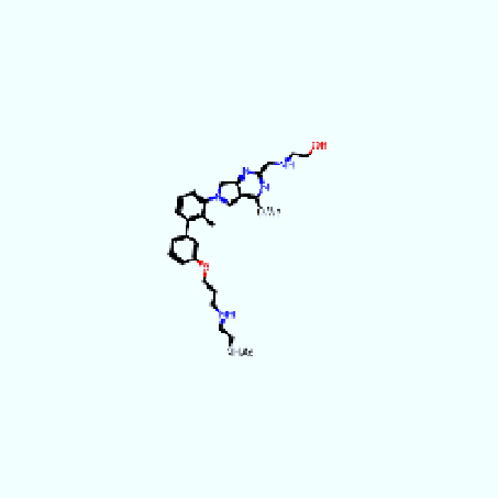 COc1nc(CNCCO)nc2c1CN(c1cccc(-c3cccc(OCCCNCCNC(C)=O)c3)c1C)C2